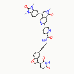 Cn1cc(-c2ccc3c(c2)n(C)c(=O)n3C)c2cnc(-c3ccc(C(=O)NCC#Cc4ccc5occ(C6CCC(=O)NC6=O)c5c4)nc3)cc2c1=O